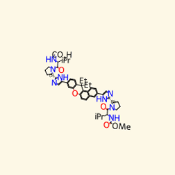 CCC1(CC)c2ccc(-c3cnc([C@@H]4CCCN4C(=O)C(NC(=O)O)C(C)C)[nH]3)cc2Oc2ccc3cc(-c4cnc([C@@H]5CCCN5C(=O)C(NC(=O)OC)C(C)C)[nH]4)ccc3c21